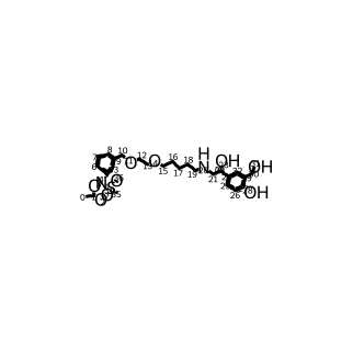 CC(=O)ON(c1cccc(COCCOCCCCCNC[C@@H](O)c2ccc(O)c(CO)c2)c1)S(C)(=O)=O